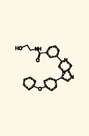 O=C(NCCO)c1cccc(-c2cn3c(-c4ccc(Oc5ccccc5)cc4)cnc3cn2)c1